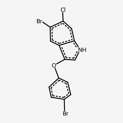 Clc1cc2[nH]cc(Oc3ccc(Br)cc3)c2cc1Br